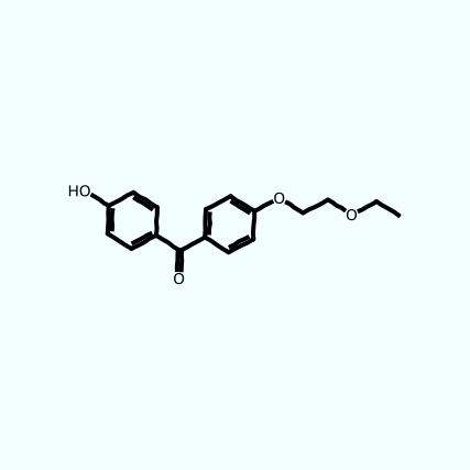 CCOCCOc1ccc(C(=O)c2ccc(O)cc2)cc1